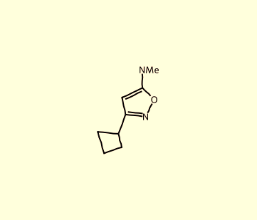 CNc1cc(C2CCC2)no1